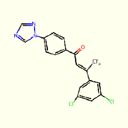 O=C(C=C(c1cc(Cl)cc(Cl)c1)C(F)(F)F)c1ccc(-n2cncn2)cc1